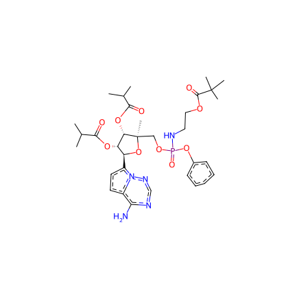 CC(C)C(=O)O[C@H]1[C@H](c2ccc3c(N)ncnn23)O[C@](C)(COP(=O)(NCCOC(=O)C(C)(C)C)Oc2ccccc2)[C@H]1OC(=O)C(C)C